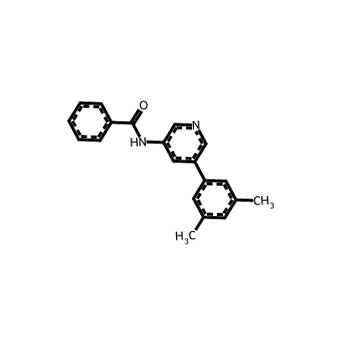 Cc1cc(C)cc(-c2cncc(NC(=O)c3ccccc3)c2)c1